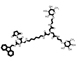 C[C@@H]1O[C@@H](OCCNC(=O)CN(CC(=O)NCCCCCCNC[C@@H](NC(=O)OCC2c3ccccc3-c3ccccc32)C(=O)ON2C(=O)CCC2=O)CC(=O)NCCO[C@@H]2O[C@@H](C)[C@@H](O)[C@@H](O)[C@@H]2O)[C@@H](O)[C@H](O)[C@@H]1O